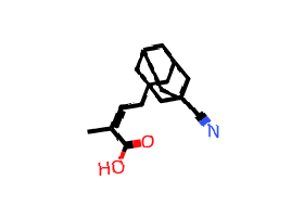 CC(=CCC12CC3CC(CC(C#N)(C3)C1)C2)C(=O)O